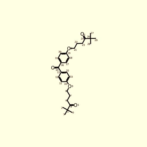 CC(C)(C)C(=O)CCCOc1ccc(C(=O)c2ccc(OCCCC(=O)C(C)(C)C)cc2)cc1